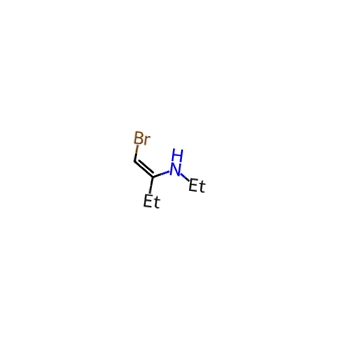 CCN/C(=C\Br)CC